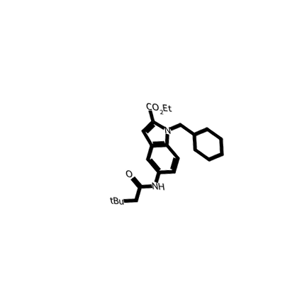 CCOC(=O)c1cc2cc(NC(=O)CC(C)(C)C)ccc2n1CC1CCCCC1